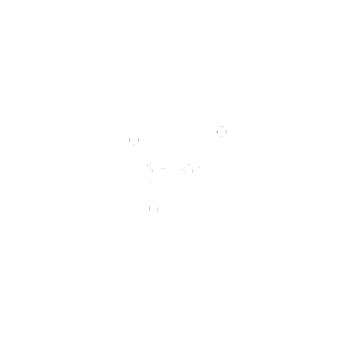 O=S1OCC[O+]1[O-]